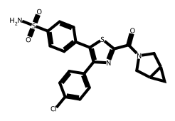 NS(=O)(=O)c1ccc(-c2sc(C(=O)N3CC4CC4C3)nc2-c2ccc(Cl)cc2)cc1